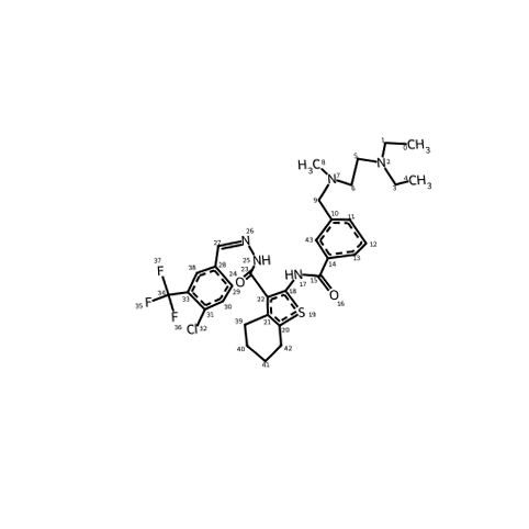 CCN(CC)CCN(C)Cc1cccc(C(=O)Nc2sc3c(c2C(=O)N/N=C\c2ccc(Cl)c(C(F)(F)F)c2)CCCC3)c1